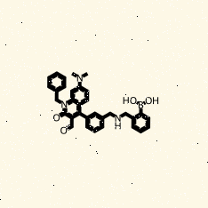 CN(C)c1ccc2c(-c3cccc(CNCc4ccccc4B(O)O)c3)c(C=O)c(=O)n(Cc3ccccc3)c2c1